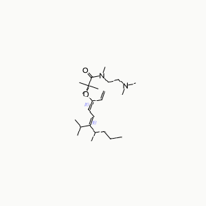 C=C/C(=C\C=C(/C(C)C)C(C)CCC)OC(C)(C)C(=O)N(C)CCN(C)C